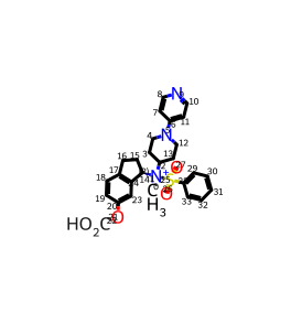 C[N+](C1CCN(c2ccncc2)CC1)([C@@H]1CCc2ccc(OC(=O)O)cc21)S(=O)(=O)c1ccccc1